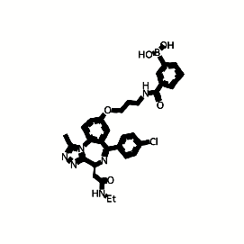 CCNC(=O)C[C@@H]1N=C(c2ccc(Cl)cc2)c2cc(OCCCNC(=O)c3cccc(B(O)O)c3)ccc2-n2c(C)nnc21